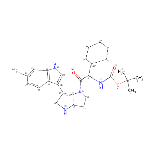 CC(C)(C)OC(=O)NC(C(=O)N1CCC2NCC(c3c[nH]c4cc(F)ccc34)=C21)C1CCCCC1